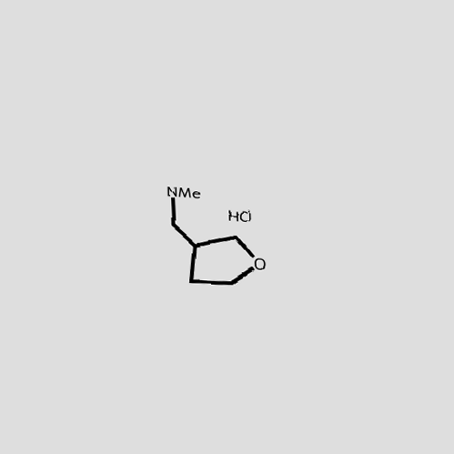 CNCC1CCOC1.Cl